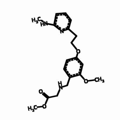 CNc1cccc(CCOc2ccc(CNCC(=O)OC)c(OC)c2)n1